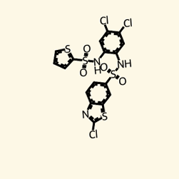 O=S(=O)(Nc1cc(Cl)c(Cl)cc1NS(=O)(=O)c1cccs1)c1ccc2nc(Cl)sc2c1